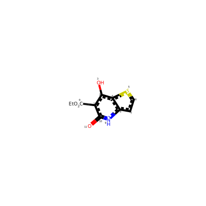 CCOC(=O)c1c(O)c2sccc2[nH]c1=O